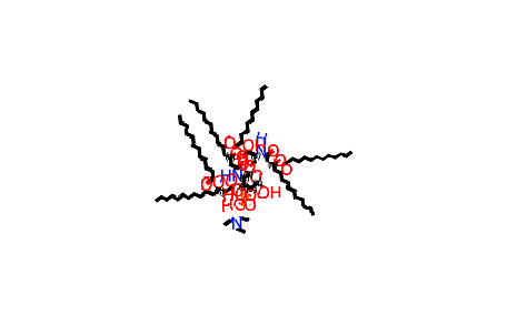 CCCCCCCCCCCC(=O)O[C@H](CCCCCCCCCCC)CC(=O)N[C@H]1[C@H](OC[C@H](NC(=O)C[C@@H](CCCCCCCCCCC)OC(=O)CCCCCCCCCCC)C(=O)O)O[C@H](CO)[C@@H](OP(=O)(O)O)[C@@H]1OC(=O)C[C@@H](CCCCCCCCCCC)OC(=O)CCCCCCCCCCC.CCN(CC)CC